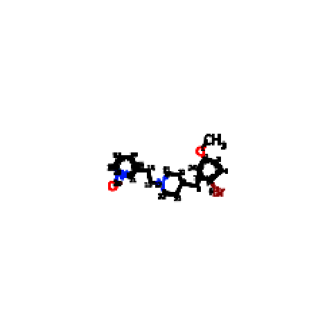 COc1ccc(Br)c(CC2CCN(CCc3ccc[n+]([O-])c3)CC2)c1